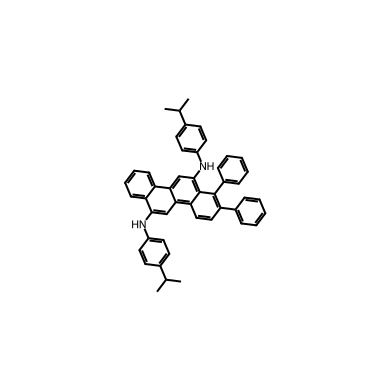 CC(C)c1ccc(Nc2cc3c4ccc(-c5ccccc5)c(-c5ccccc5)c4c(Nc4ccc(C(C)C)cc4)cc3c3ccccc23)cc1